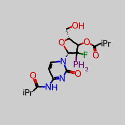 CC(C)C(=O)Nc1ccn([C@@H]2O[C@H](CO)C(OC(=O)C(C)C)C2(F)P)c(=O)n1